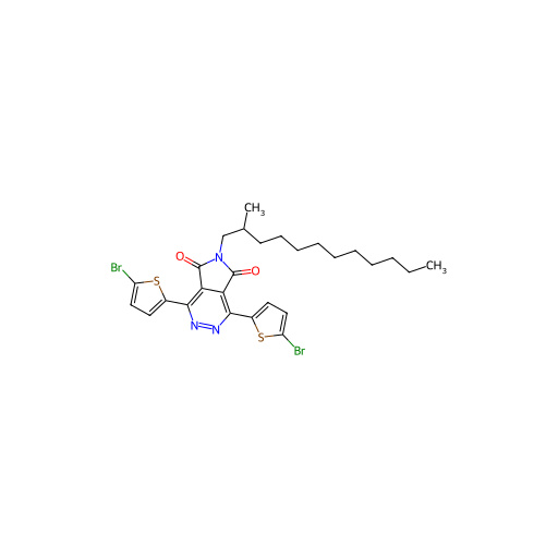 CCCCCCCCCCC(C)CN1C(=O)c2c(-c3ccc(Br)s3)nnc(-c3ccc(Br)s3)c2C1=O